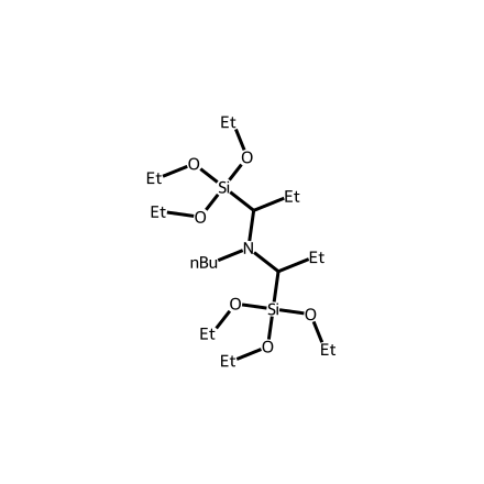 CCCCN(C(CC)[Si](OCC)(OCC)OCC)C(CC)[Si](OCC)(OCC)OCC